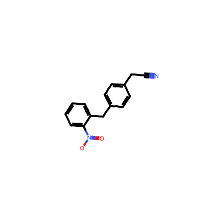 N#CCc1ccc(Cc2ccccc2[N+](=O)[O-])cc1